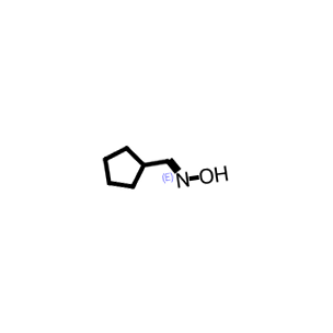 O/N=C/C1CCCC1